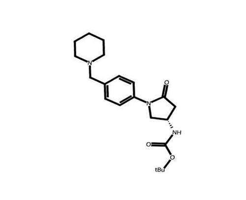 CC(C)(C)OC(=O)N[C@H]1CC(=O)N(c2ccc(CN3CCCCC3)cc2)C1